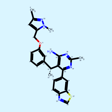 Cc1cc(COc2cccc([C@@H](C)c3c(N)nc(C)nc3-c3ccc4ncsc4c3)c2)n(C)n1